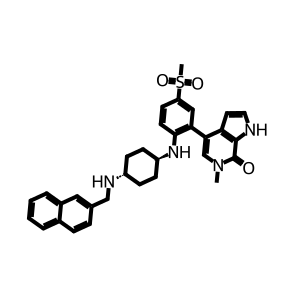 Cn1cc(-c2cc(S(C)(=O)=O)ccc2N[C@H]2CC[C@H](NCc3ccc4ccccc4c3)CC2)c2cc[nH]c2c1=O